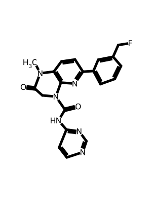 CN1C(=O)CN(C(=O)Nc2ccncn2)c2nc(-c3cccc(CF)c3)ccc21